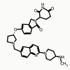 CNC1CCN(c2ccc3cc(CN4CC[C@H](Oc5ccc6c(c5)CN(C5CCC(=O)NC5=O)C6=O)C4)ccc3n2)CC1